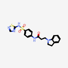 O=C(CCN1CCc2ccccc21)Nc1ccc(S(=O)(=O)Nc2ncns2)cc1